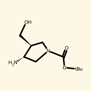 CC(C)(C)OC(=O)N1C[C@H](CO)[C@@H](N)C1